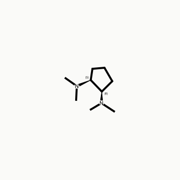 CN(C)[C@@H]1CCC[C@@H]1N(C)C